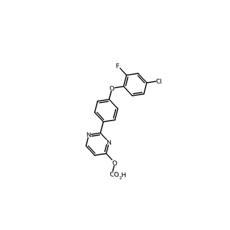 O=C(O)Oc1ccnc(-c2ccc(Oc3ccc(Cl)cc3F)cc2)n1